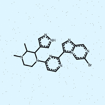 CC1C(c2cn[nH]c2)N(c2ccnc(-c3cnc4cnc(Br)cn34)n2)CCN1C